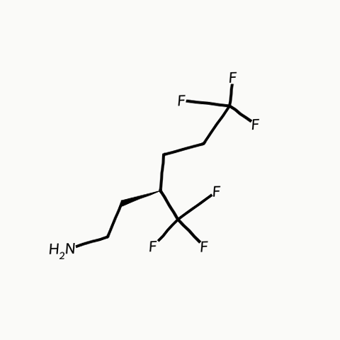 NCC[C@@H](CCC(F)(F)F)C(F)(F)F